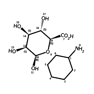 NC1CCCCC1.O=C(O)[C@H]1O[C@@H](O)[C@@H](O)[C@@H](O)[C@@H]1O